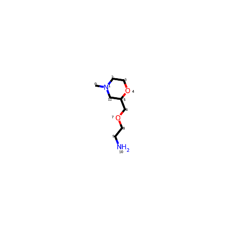 CN1CCOC(COCCN)C1